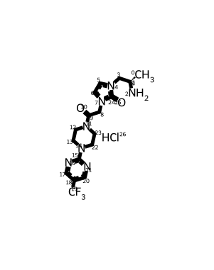 C[C@H](N)Cn1ccn(CC(=O)N2CCN(c3ncc(C(F)(F)F)cn3)CC2)c1=O.Cl